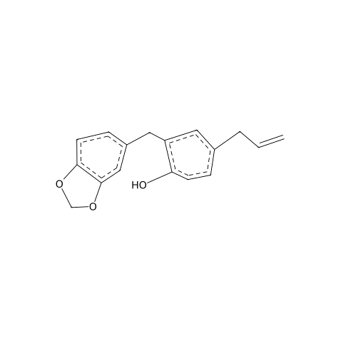 C=CCc1ccc(O)c(Cc2ccc3c(c2)OCO3)c1